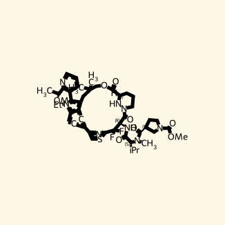 CCn1c(-c2cccnc2[C@H](C)OC)c2c3cc(ccc31)-c1csc(n1)C(F)(F)[C@H](NC(=O)[C@H](C(C)C)N(C)C(=O)[C@H]1CCN(C(=O)OC)C1)C(=O)N1CCC[C@H](N1)C(=O)OCC(C)(C)C2